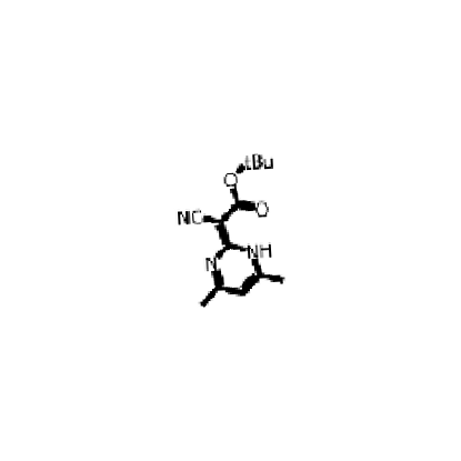 CC1=CC(C)=N/C(=C(\C#N)C(=O)OC(C)(C)C)N1